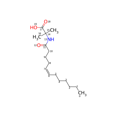 CCCCCC/C=C\CCCC(=O)NC(C)(C)C(=O)O